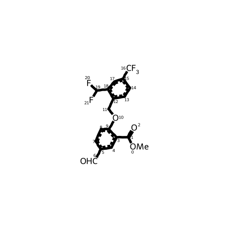 COC(=O)c1cc(C=O)ccc1OCc1ccc(C(F)(F)F)cc1C(F)F